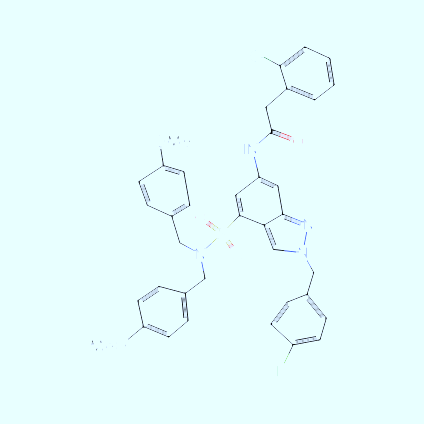 COc1ccc(CN(Cc2ccc(OC)cc2)S(=O)(=O)c2cc(NC(=O)Cc3ccccc3Cl)cc3nn(Cc4ccc(F)cc4)cc23)cc1